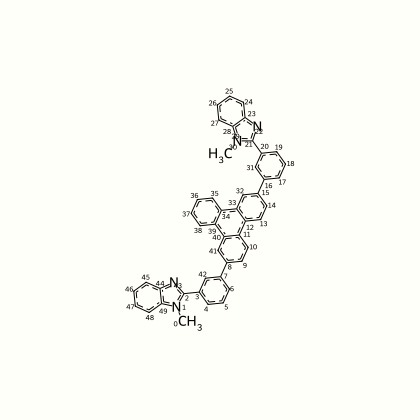 Cn1c(-c2cccc(-c3ccc4c5ccc(-c6cccc(-c7nc8ccccc8n7C)c6)cc5c5ccccc5c4c3)c2)nc2ccccc21